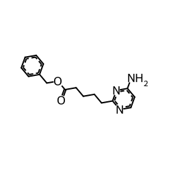 Nc1ccnc(CCCCC(=O)OCc2ccccc2)n1